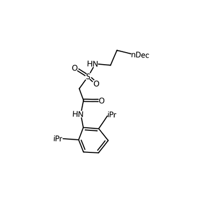 CCCCCCCCCCCCNS(=O)(=O)CC(=O)Nc1c(C(C)C)cccc1C(C)C